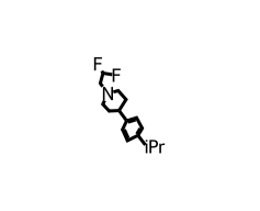 CC(C)c1ccc(C2CCN(CC(F)F)CC2)cc1